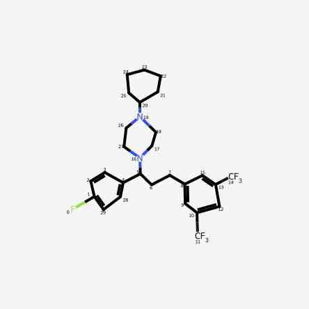 Fc1ccc(C([CH]Cc2cc(C(F)(F)F)cc(C(F)(F)F)c2)N2CCN(C3CCCCC3)CC2)cc1